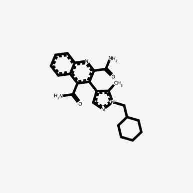 Cc1c(-c2c(C(N)=O)nc3ccccc3c2C(N)=O)cnn1CC1CCCCC1